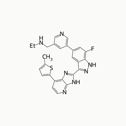 CCNCc1cncc(-c2cc(F)c3[nH]nc(-c4nc5c(-c6ccc(C)s6)ccnc5[nH]4)c3c2)c1